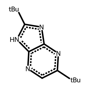 CC(C)(C)c1cnc2[nH]c(C(C)(C)C)nc2n1